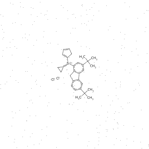 CC(C)(C)c1ccc2c(c1)-c1cc(C(C)(C)C)c[c]([Zr+2]([C]3=CC=CC3)=[C]3CC3)c1C2.[Cl-].[Cl-]